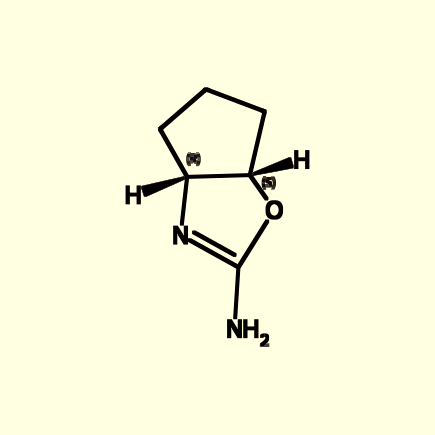 NC1=N[C@@H]2CCC[C@@H]2O1